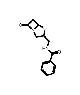 O=C(NCC1CN2C(=O)CC2O1)c1ccccc1